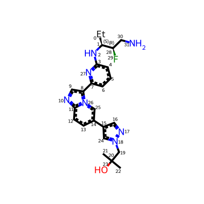 CC[C@H](Nc1cccc(-c2cnc3ccc(-c4cnn(CC(C)(C)O)c4)cn23)n1)[C@H](F)CN